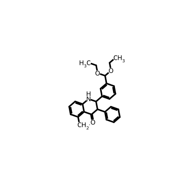 [CH2]c1cccc2c1C(=O)C(c1ccccc1)C(c1cccc(C(OCC)OCC)c1)N2